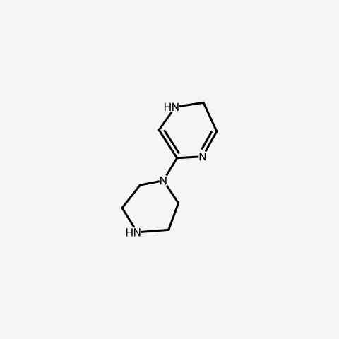 C1=NC(N2CCNCC2)=CNC1